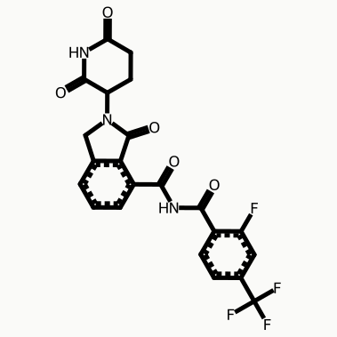 O=C1CCC(N2Cc3cccc(C(=O)NC(=O)c4ccc(C(F)(F)F)cc4F)c3C2=O)C(=O)N1